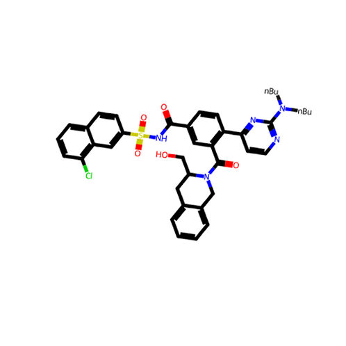 CCCCN(CCCC)c1nccc(-c2ccc(C(=O)NS(=O)(=O)c3ccc4cccc(Cl)c4c3)cc2C(=O)N2Cc3ccccc3CC2CO)n1